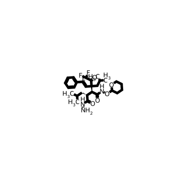 CC(C)C[C@@H](C(=O)NN)[C@H](C(=O)NOC1CCCCO1)C(/C=C/c1ccccc1)(CC(C)C)C(=O)C(F)(F)F